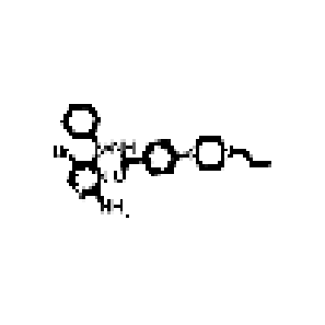 CCCN1CCN(c2ccc(C(=O)NN(c3nc(N)ncc3Br)C3CCCCC3)cc2)CC1